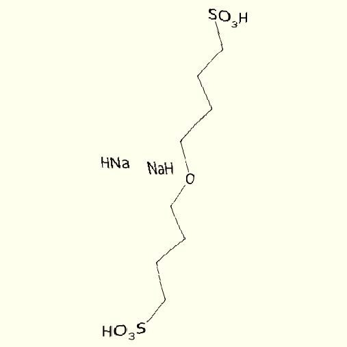 O=S(=O)(O)CCCCOCCCCS(=O)(=O)O.[NaH].[NaH]